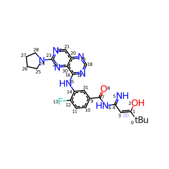 CC(C)(C)/C(O)=C/C(=N)NC(=O)c1ccc(F)c(Nc2ncnc3cnc(N4CCCC4)nc23)c1